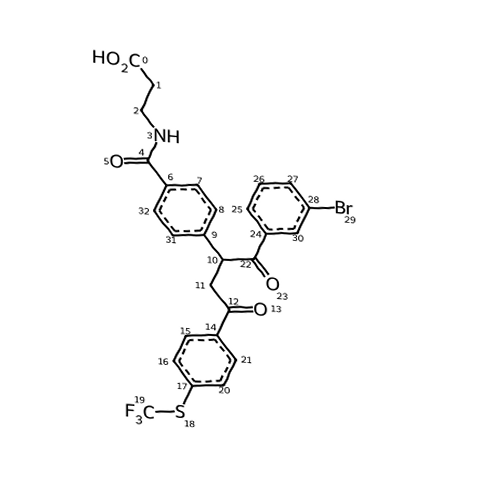 O=C(O)CCNC(=O)c1ccc(C(CC(=O)c2ccc(SC(F)(F)F)cc2)C(=O)c2cccc(Br)c2)cc1